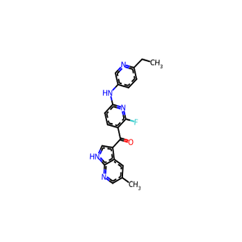 CCc1ccc(Nc2ccc(C(=O)c3c[nH]c4ncc(C)cc34)c(F)n2)cn1